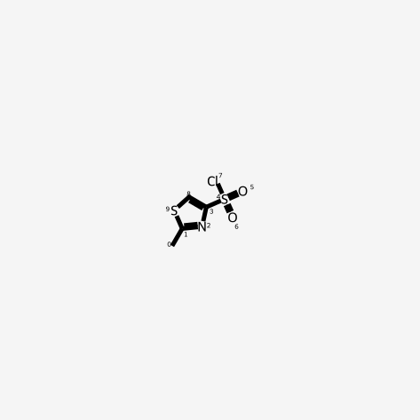 Cc1nc(S(=O)(=O)Cl)cs1